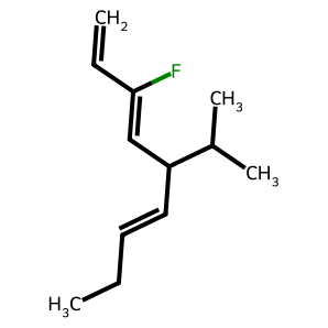 C=CC(F)=CC(/C=C/CC)C(C)C